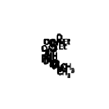 CCC(CC)C(=O)N1CC(=O)C2C1CCN2C(=O)[C@H](CC(C)C)NC(=O)c1ccc(N(C)C)cc1